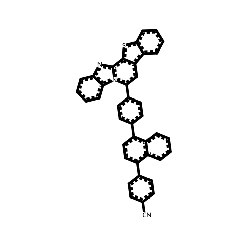 N#Cc1ccc(-c2ccc(-c3ccc(-c4cc5c6ccccc6sc5c5nc6ccccc6n45)cc3)c3ccccc23)cc1